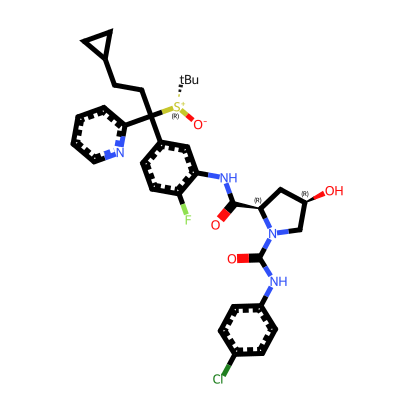 CC(C)(C)[S@+]([O-])C(CCC1CC1)(c1ccc(F)c(NC(=O)[C@H]2C[C@@H](O)CN2C(=O)Nc2ccc(Cl)cc2)c1)c1ccccn1